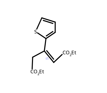 CCOC(=O)/C=C(/CC(=O)OCC)c1cccs1